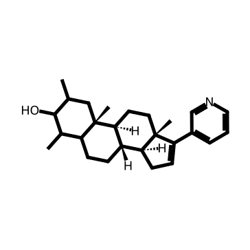 CC1C[C@@]2(C)C(CC[C@@H]3[C@@H]2CC[C@]2(C)C(c4cccnc4)=CC[C@@H]32)C(C)C1O